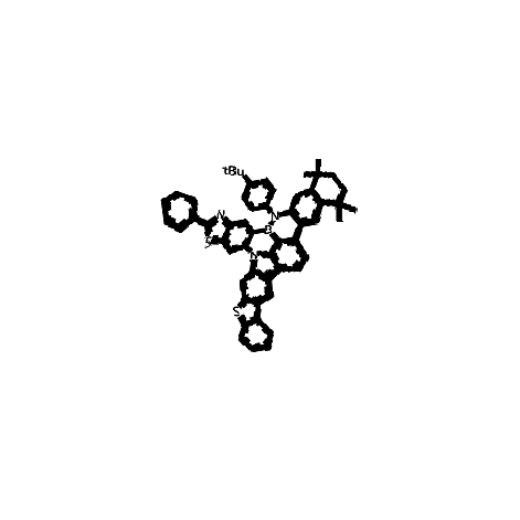 CC(C)(C)c1ccc(N2B3c4cc5nc(-c6ccccc6)sc5cc4-n4c5cc6sc7ccccc7c6cc5c5ccc(c3c54)-c3cc4c(cc32)C(C)(C)CCC4(C)C)cc1